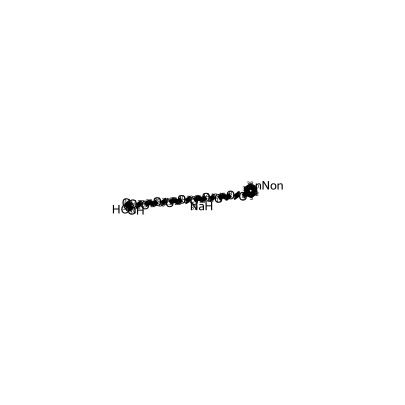 CCCCCCCCCc1ccc(OCCOCCOCCOCCOCCOCCOCCOCCOCCOP(=O)(O)O)cc1.[NaH]